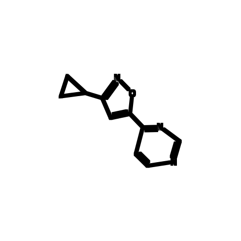 c1cc(-c2cc(C3CC3)no2)ncn1